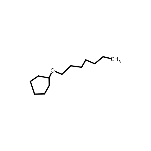 CCCCCCCOC1CCCCC1